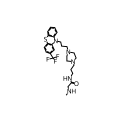 CNCC(=O)NCCCN1CCN(CCCN2c3ccccc3Sc3ccc(C(F)(F)F)cc32)CC1